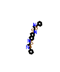 c1ccc(-c2ncc(-c3nc4cc5cc6sc(-c7cnc(-c8ccccc8)s7)nc6cc5cc4s3)s2)cc1